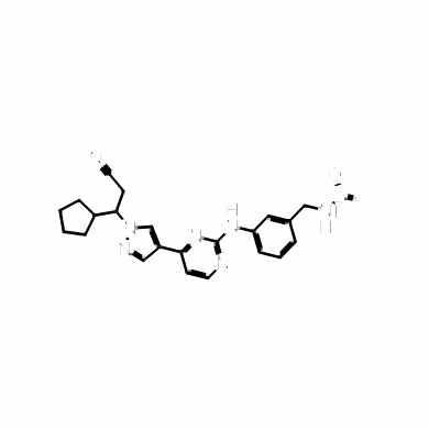 N#CCC(C1CCCC1)n1cc(-c2ccnc(Nc3cccc(CN[SH](=O)=O)c3)n2)cn1